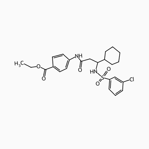 CCOC(=O)c1ccc(NC(=O)CC(NS(=O)(=O)c2cccc(Cl)c2)C2CCCCC2)cc1